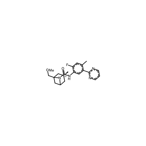 COCC12CC(C[C@H](C)C1)N2C(=O)Nc1cc(-c2ncccn2)c(C)cc1F